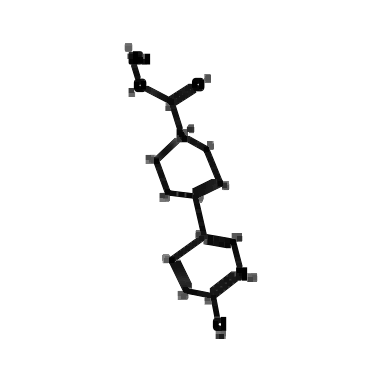 CC(C)(C)OC(=O)N1CC=C(c2ccc(Cl)nc2)CC1